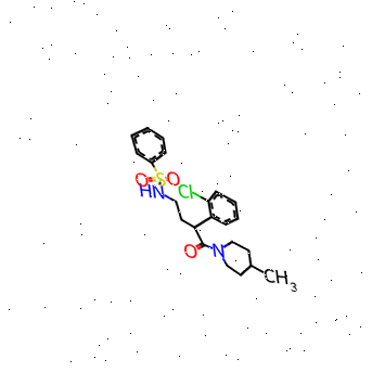 CC1CCN(C(=O)C(CCNS(=O)(=O)c2ccccc2)c2ccccc2Cl)CC1